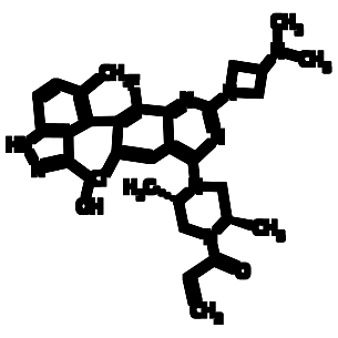 C=CC(=O)N1C[C@H](C)N(c2nc(N3CC(N(C)C)C3)nc3c(F)c(-c4c(C)ccc5[nH]nc(CO)c45)c(Cl)cc23)C[C@H]1C